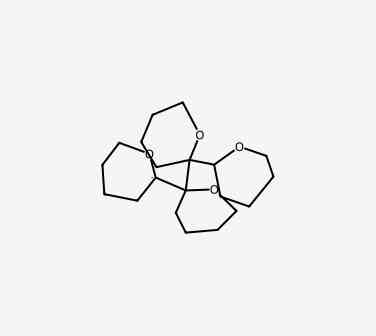 C1CC[C](C2(C3(C4CCCCO4)CCCCO3)CCCCO2)OC1